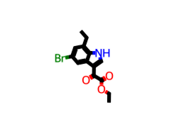 CCOC(=O)C(=O)c1c[nH]c2c(CC)cc(Br)cc12